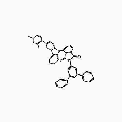 Cc1ccc(-c2ccc3c(c2)c2ccccc2n3-c2cccc3c2C(=O)N(c2cc(-c4ccccc4)cc(-c4ccccc4)c2)C3=O)c(C)c1